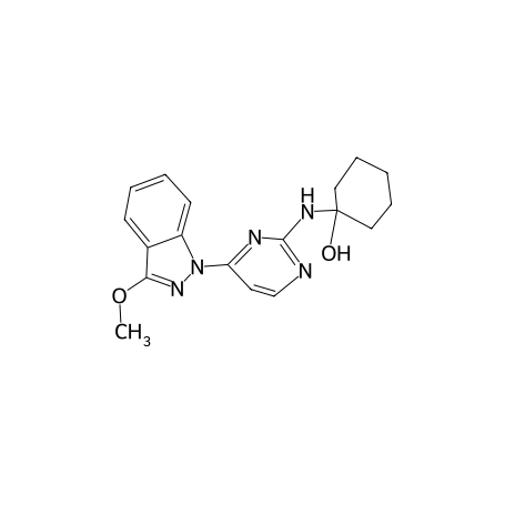 COc1nn(-c2ccnc(NC3(O)CCCCC3)n2)c2ccccc12